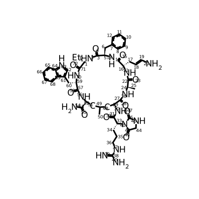 CC[C@@H]1NC(=O)[C@@H](Cc2ccccc2)NC(=O)[C@H](C/C=C/N)NC(=O)[C@@H](C)NC(=O)[C@@H](NC(=O)[C@@H](CCCNC(=N)N)N2C(=O)CNC2=O)CC(C)C[C@@H](C(N)=O)NC(=O)[C@H](Cc2c[nH]c3ccccc23)NC1=O